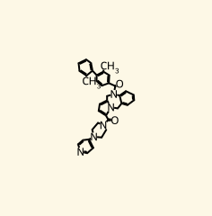 Cc1ccccc1-c1ccc(C(=O)N2Cc3ccc(C(=O)N4CCN(c5ccncc5)CC4)n3Cc3ccccc32)cc1C